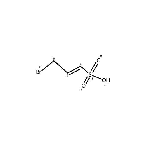 O=S(=O)(O)C=CCBr